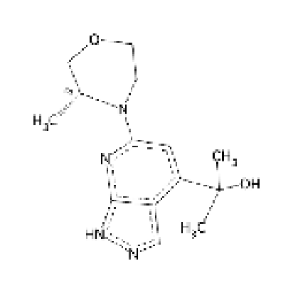 C[C@@H]1COCCN1c1cc(C(C)(C)O)c2cn[nH]c2n1